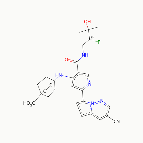 CC(C)(O)[C@H](F)CNC(=O)c1cnc(-c2ccc3cc(C#N)cnn23)cc1NC12CCC(C(=O)O)(CC1)CC2